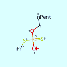 CCCCCCOP(O)(=S)SC(C)C